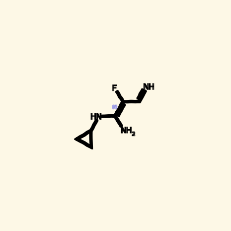 N=C/C(F)=C(\N)NC1CC1